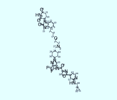 CN(CCOCCCc1cccc2c1n(C)c(=O)n2C1CCC(=O)NC1=O)C[C@H]1CC[C@H](n2cc(NC(=O)c3coc(-c4ccnc(NCC5CC5)c4)n3)c(C(F)F)n2)CC1